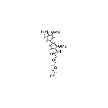 COc1cc(-c2ccc(NC(=O)COCCOCCBr)c(OC)c2)ccc1N